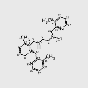 CCN(CCNCC1=C(C)C=CCN1Cc1ncccc1C)Cc1ncccc1C